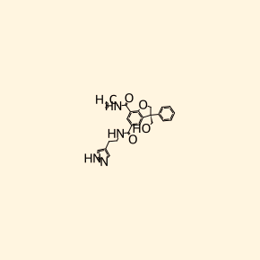 CNC(=O)c1cc(C(=O)NCCc2cn[nH]c2)cc2c1OC[C@]2(CO)c1ccccc1